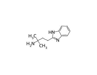 CC(C)(N)CCc1nc2ccccc2[nH]1